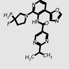 CC(C)c1ncc(C(=O)Nc2c(-c3cnco3)ccnc2N2CCC(F)(P)C2)cn1